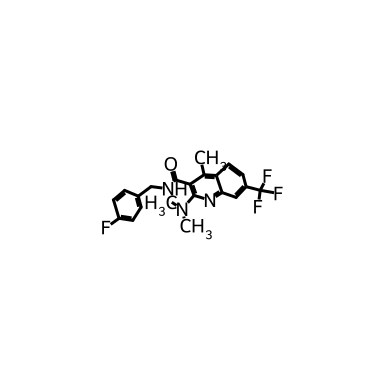 Cc1c(C(=O)NCc2ccc(F)cc2)c(N(C)C)nc2cc(C(F)(F)F)ccc12